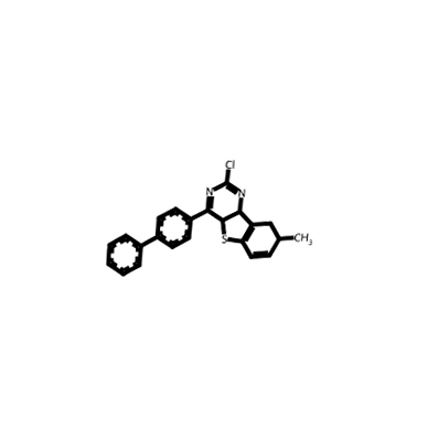 CC1C=CC2=C(C1)C1N=C(Cl)N=C(c3ccc(-c4ccccc4)cc3)C1S2